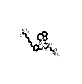 C[C@@H](OCc1ccc(CCCCCCC(N)=O)cc1)[C@H](CCC(N)=O)NC(=O)[C@@H]1Cc2cccc3c2N1C(=O)CCC3